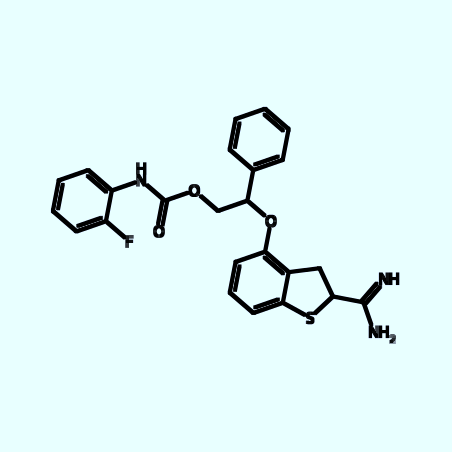 N=C(N)C1Cc2c(OC(COC(=O)Nc3ccccc3F)c3ccccc3)cccc2S1